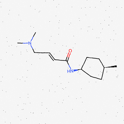 CN(C)C/C=C/C(=O)N[C@H]1CC[C@@H](C)CC1